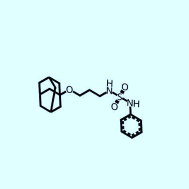 O=S(=O)(NCCCOC12CC3CC(CC(C3)C1)C2)Nc1ccccc1